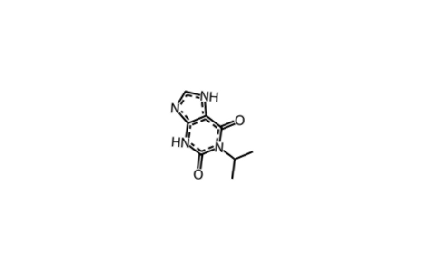 CC(C)n1c(=O)[nH]c2nc[nH]c2c1=O